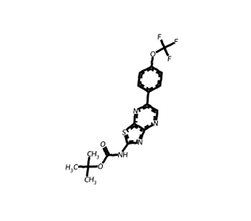 CC(C)(C)OC(=O)Nc1nc2ncc(-c3ccc(OC(F)(F)F)cc3)nc2s1